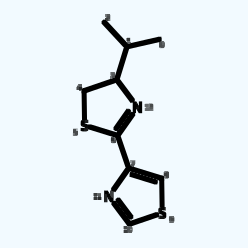 CC(C)C1CSC(c2cscn2)=N1